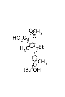 CCC(CCc1ccc(OCC(O)C(C)(C)C)c(C)c1)c1ccc(CN(CCS(C)(=O)=O)C(=O)O)c(C)c1